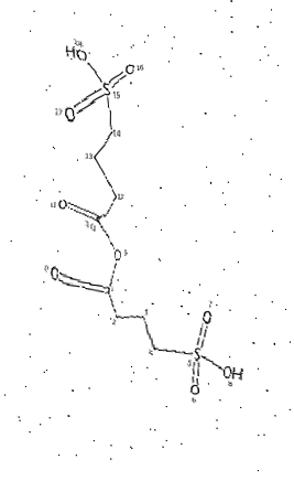 O=C(CCCS(=O)(=O)O)OC(=O)CCCS(=O)(=O)O